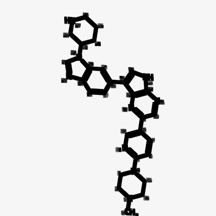 CN1CCN(c2ccc(-c3cnc4[nH]cc(-c5ccc6ncn(C7CCCNC7)c6c5)c4n3)cn2)CC1